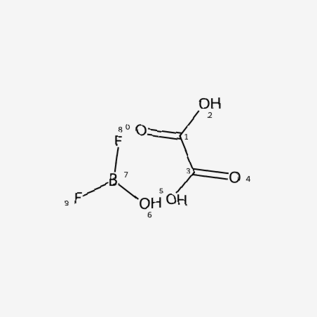 O=C(O)C(=O)O.OB(F)F